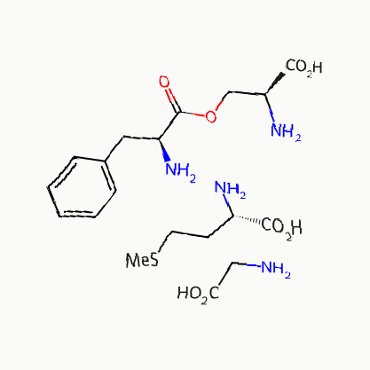 CSCC[C@H](N)C(=O)O.NCC(=O)O.N[C@@H](COC(=O)[C@@H](N)Cc1ccccc1)C(=O)O